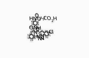 O=C(O)CCOC(=O)Nc1ccc(NC(=O)C(Cc2ccccc2)NC(=O)C=Cc2cc(Cl)ccc2-n2cnnn2)cc1